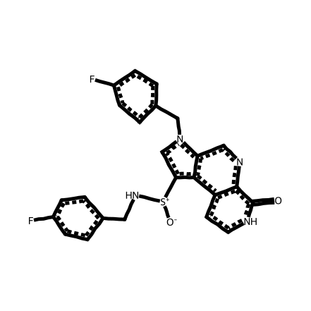 O=c1[nH]ccc2c1ncc1c2c([S+]([O-])NCc2ccc(F)cc2)cn1Cc1ccc(F)cc1